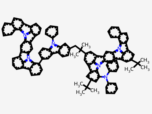 CC(C)(C)c1cc(N(c2ccccc2)c2ccccc2)c2c(c1)c1cc(C(C)(C)Cc3ccc4c5cc(-c6cccc7c8cccc9c%10cc%11c(cc%10n(c67)c98)c6cccc7c8ccc9ccccc9c8n%11c67)ccc5n(-c5ccccc5)c4c3)cc3c4cc5c(cc4n2c31)c1cc(C(C)(C)C)cc2c3ccc4ccccc4c3n5c12